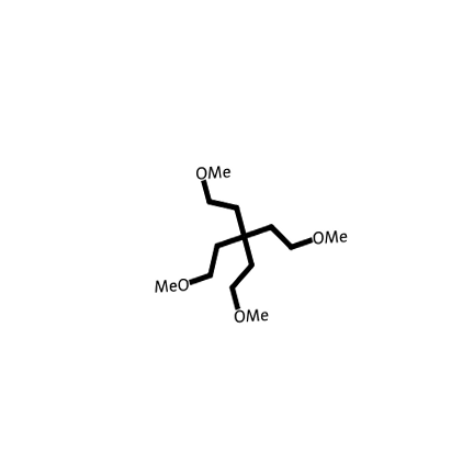 COCCC(CCOC)(CCOC)CCOC